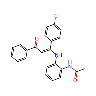 CC(=O)Nc1ccccc1NC(=CC(=O)c1ccccc1)c1ccc(Cl)cc1